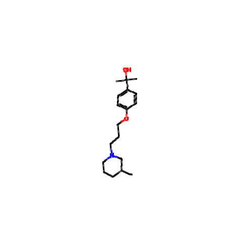 CC1CCCN(CCCOc2ccc(C(C)(C)O)cc2)C1